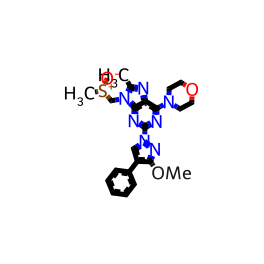 COc1nn(-c2nc(N3CCOCC3)c3nc(C)n(C[S+](C)[O-])c3n2)cc1-c1ccccc1